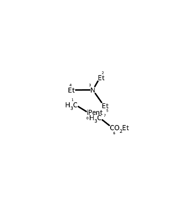 CCCC(C)C.CCN(CC)CC.CCOC(C)=O